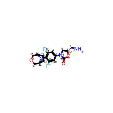 NC[C@H]1CN(c2cc(F)c(N3C4CCC3COC4)c(F)c2)C(=O)O1